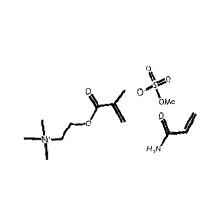 C=C(C)C(=O)OCC[N+](C)(C)C.C=CC(N)=O.COS(=O)(=O)[O-]